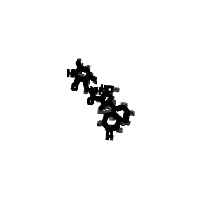 Cc1cc(C)c(CNC(=O)c2csc(-c3cccc4c3CCNC4)c2C)c(=O)[nH]1.Cl